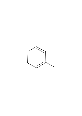 FC1=[C]COC=C1